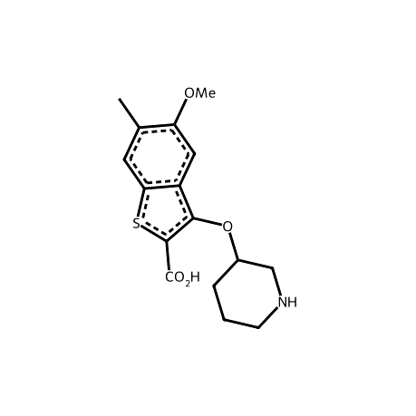 COc1cc2c(OC3CCCNC3)c(C(=O)O)sc2cc1C